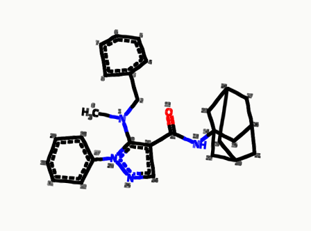 CN(Cc1ccccc1)c1c(C(=O)NC23CC4CC(CC(C4)C2)C3)cnn1-c1ccccc1